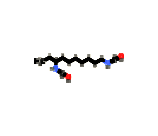 CCC(CCCCCCCN=C=O)N=C=O